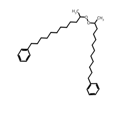 CC(CCCCCCCCCCc1ccccc1)OOC(C)CCCCCCCCCCc1ccccc1